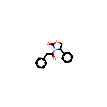 O=C(Cc1ccccc1)N1C(=O)OCC1c1ccccc1